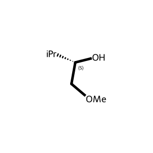 COC[C@@H](O)C(C)C